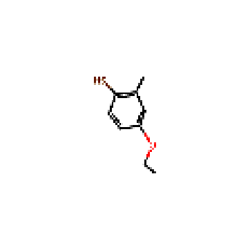 CCOc1ccc(S)c(C)c1